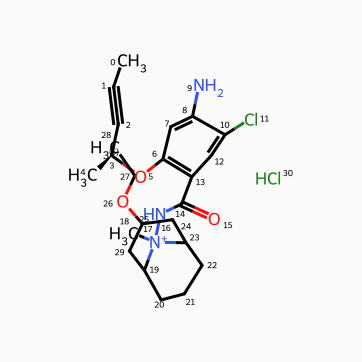 CC#C[C@H](C)Oc1cc(N)c(Cl)cc1C(=O)N[N+]1(C)C2CCCC1CC(OCC)C2.Cl